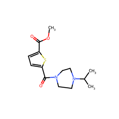 COC(=O)c1ccc(C(=O)N2CCN(C(C)C)CC2)s1